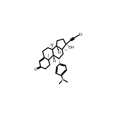 CCC#C[C@]1(O)CC[C@H]2[C@@H]3CCC4=CC(=O)CC[C@]4(C)[C@H]3[C@@H](c3ccc(N(C)C)cc3)C[C@@]21C